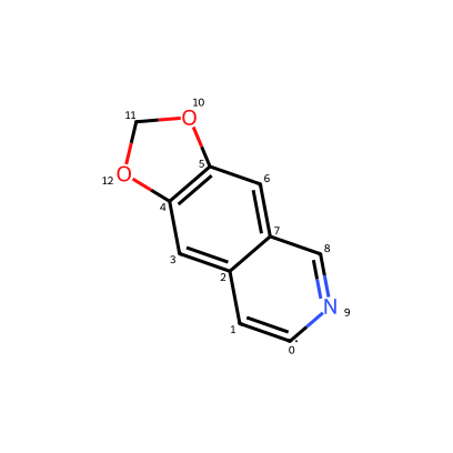 [c]1cc2cc3c(cc2cn1)OCO3